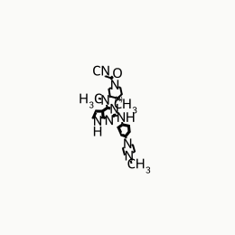 C[C@@H]1CCN(C(=O)CC#N)CC1N(C)c1nc(Nc2ccc(N3CCN(C)CC3)cc2)nc2[nH]ccc12